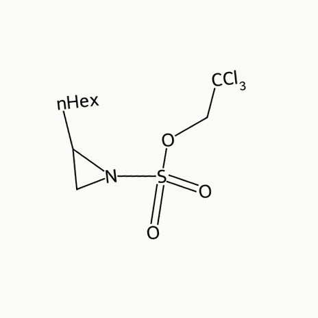 CCCCCCC1CN1S(=O)(=O)OCC(Cl)(Cl)Cl